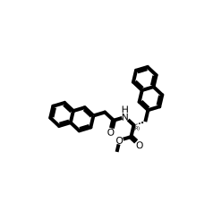 COC(=O)[C@@H](Cc1ccc2ccccc2c1)NC(=O)Cc1ccc2ccccc2c1